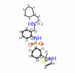 C[C@@H](CC1CCCCC1)NCc1ccccc1NS(=O)(=O)c1cccc(C2(C)NC=CS2)c1